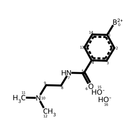 [B+2]c1ccc(C(=O)NCCN(C)C)cc1.[OH-].[OH-]